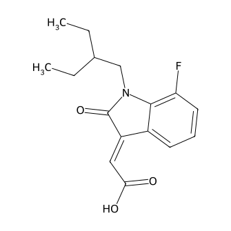 CCC(CC)CN1C(=O)/C(=C/C(=O)O)c2cccc(F)c21